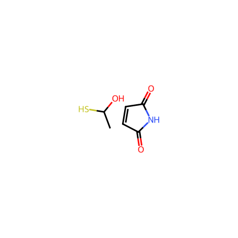 CC(O)S.O=C1C=CC(=O)N1